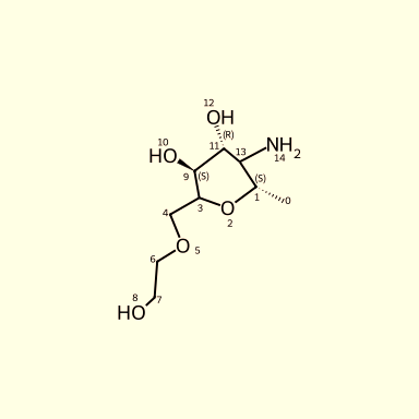 C[C@@H]1OC(COCCO)[C@@H](O)[C@H](O)C1N